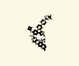 Cc1ccc2c(P(C)(C)=O)c(Nc3nc(Nc4cc(-c5cnn(C)c5)c(N5CCC(N6CCN(C(=O)OC(C)(C)C)CC6)CC5)cc4OC4CCC4)ncc3Br)ccc2n1